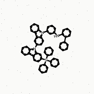 c1ccc(-c2ccccc2Nc2cccc(-n3c4ccccc4c4cc(-n5c6ccccc6c6ccc([Si](c7ccccc7)(c7ccccc7)c7ccccc7)cc65)ccc43)c2)cc1